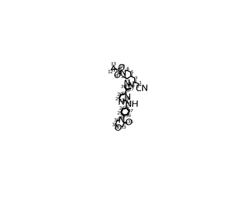 N#CCC(CC1CCN(S(=O)(=O)C2CC2)CC1)n1cc(-c2ccnc(Nc3ccc(N4CCOCC4=O)cc3)n2)cn1